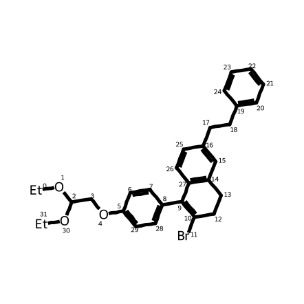 CCOC(COc1ccc(C2=C(Br)CCc3cc(CCc4ccccc4)ccc32)cc1)OCC